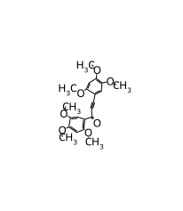 COc1cc(OC)c(OC)cc1C#CC(=O)c1cc(OC)c(OC)cc1OC